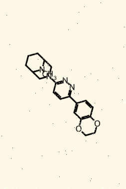 CN1C2CCCC1CN(c1ccc(-c3ccc4c(c3)OCCO4)nn1)C2